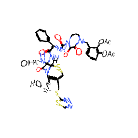 CC(=O)Oc1cccc(CN2CCN(C(=O)NC(C(=O)N[C@]3(NC=O)C(=O)N4C(C(=O)O)=C(CSc5nncs5)CS[C@H]43)c3ccccc3)C(=O)C2=O)c1OC(C)=O